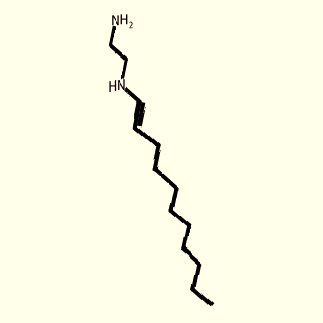 CCCCCCCCCC=CNCCN